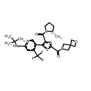 C[C@H]1CCCN1C(=O)c1nc(C(=O)N2CC3(COC3)C2)sc1-c1cnc(NC(C)(C)C)cc1C(F)(F)F